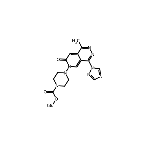 Cc1nnc(-n2cncn2)c2cn(N3CCN(C(=O)OC(C)(C)C)CC3)c(=O)cc12